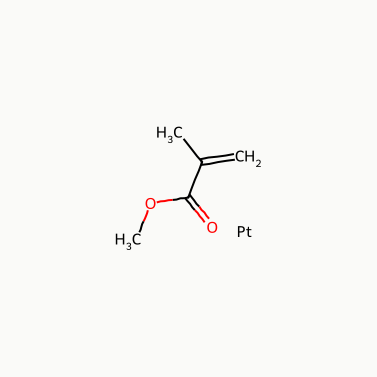 C=C(C)C(=O)OC.[Pt]